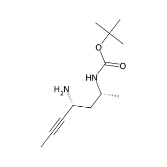 CC#C[C@H](N)C[C@@H](C)NC(=O)OC(C)(C)C